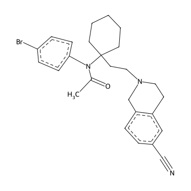 CC(=O)N(c1ccc(Br)cc1)C1(CCN2CCc3cc(C#N)ccc3C2)CCCCC1